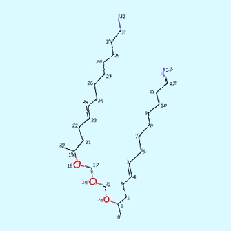 CC(CCC=CCCCCCCCI)OCOCOC(C)CCC=CCCCCCCCI